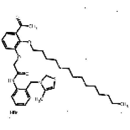 Br.CCCCCCCCCCCCCCOc1c(OCC(=O)Nc2ccccc2CN2CSC=C2C)cccc1C(C)=O